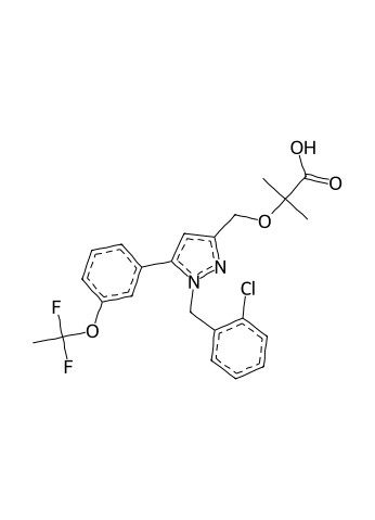 CC(F)(F)Oc1cccc(-c2cc(COC(C)(C)C(=O)O)nn2Cc2ccccc2Cl)c1